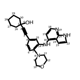 OC1(C#Cc2ccc(N3CCOCC3)c(Nc3ccnc4[nH]ccc34)c2)CCCCC1